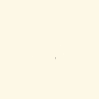 FC1(F)OC2=CC=C(Br)OC2C1(F)F